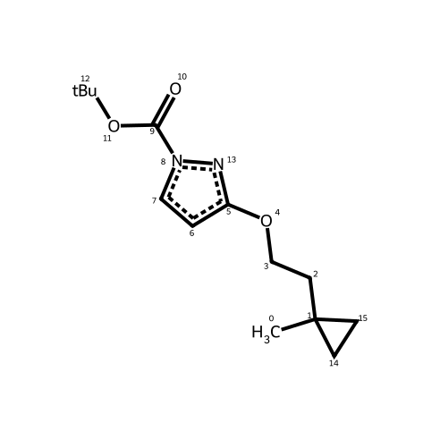 CC1(CCOc2ccn(C(=O)OC(C)(C)C)n2)CC1